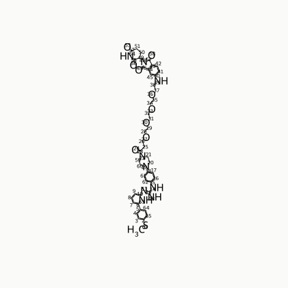 CSc1ccc(-c2ccc/c(=N/C(=N)Nc3ccc(N4CCN(C(=O)CCOCCOCCOCCOCCNc5ccc6c(c5)C(=O)N(C5CCC(=O)NC5=O)C6=O)CC4)cc3)[nH]2)cc1